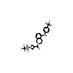 O=C(C1CN(S(=O)(=O)C(F)(F)F)C1)N1CCc2c(cccc2Nc2ccc(C(F)(F)F)cc2)C1